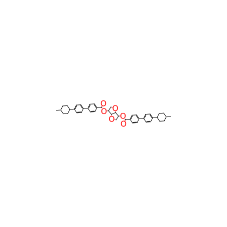 CC1CCC(c2ccc(-c3ccc(C(=O)OC4COC5C(OC(=O)c6ccc(-c7ccc(C8CCC(C)CC8)cc7)cc6)COC45)cc3)cc2)CC1